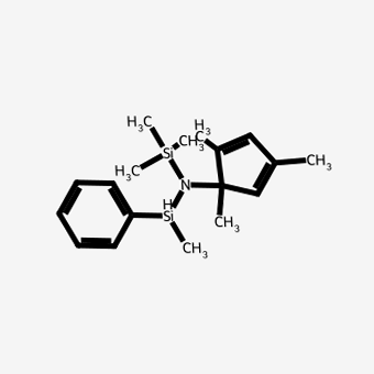 CC1=CC(C)(N([SiH](C)c2ccccc2)[Si](C)(C)C)C(C)=C1